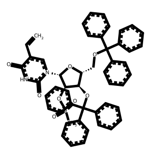 C=Cc1cn([C@@H]2O[C@H](COC(c3ccccc3)(c3ccccc3)c3ccccc3)[C@@H](OC(c3ccccc3)(c3ccccc3)c3ccccc3)[C@H]2OS(C)(=O)=O)c(=O)[nH]c1=O